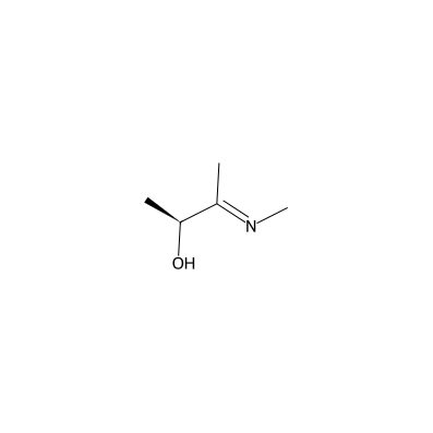 C/N=C(\C)[C@H](C)O